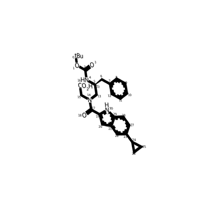 CC(C)(C)OC(=O)N[C@@H](Cc1ccccc1)CN(CC(=O)O)C(=O)c1cc2cc(C3CC3)ccc2[nH]1